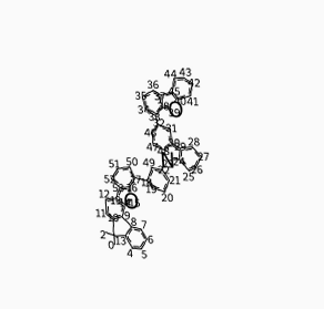 CC1(C)c2ccccc2-c2c1ccc1c2oc2c(-c3cccc(-n4c5ccccc5c5cc(-c6cccc7c6oc6ccccc67)ccc54)c3)cccc21